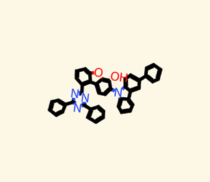 Oc1c(-n2c3ccccc3c3cc(-c4ccccc4)ccc32)ccc2c1oc1cccc(-c3nc(-c4ccccc4)nc(-c4ccccc4)n3)c12